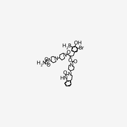 Bc1cc(C[C@@H](OC(=O)N2CCC(N3CCc4ccccc4NC3=O)CC2)C(=O)N2CCC(N3CCN(S(N)(=O)=O)CC3)CC2)cc(Br)c1O